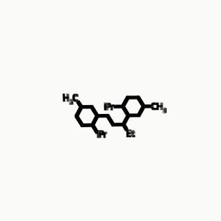 CCC(CCC1CC(C)CCC1C(C)C)C1CC(C)CCC1C(C)C